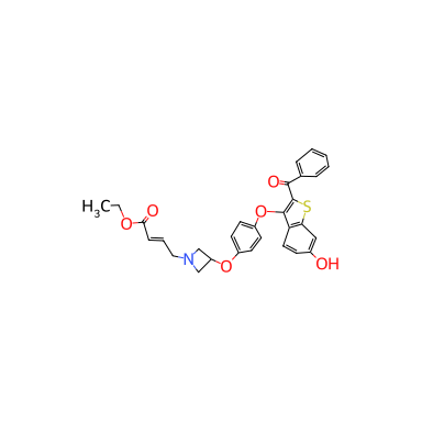 CCOC(=O)/C=C/CN1CC(Oc2ccc(Oc3c(C(=O)c4ccccc4)sc4cc(O)ccc34)cc2)C1